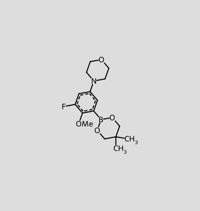 COc1c(F)cc(N2CCOCC2)cc1B1OCC(C)(C)CO1